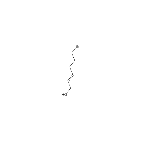 OC/C=C/CCCBr